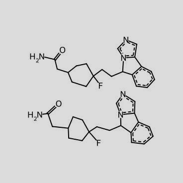 NC(=O)CC1CCC(F)(CCC2c3ccccc3-c3cncn32)CC1.NC(=O)CC1CCC(F)(CCC2c3ccccc3-c3cncn32)CC1